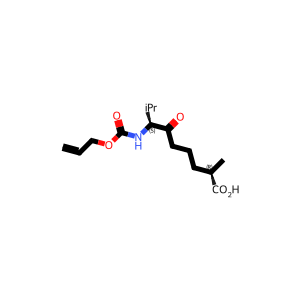 C=CCOC(=O)N[C@H](C(=O)CCC[C@@H](C)C(=O)O)C(C)C